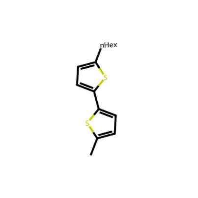 CCCCCCc1ccc(-c2ccc(C)s2)s1